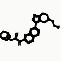 O=C(CN1C2CCC1CC2)Nc1ncc2ccc(-c3cnn4c3CN(CCF)CC4)cc2n1